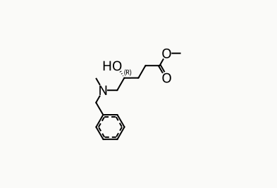 COC(=O)CC[C@@H](O)CN(C)Cc1ccccc1